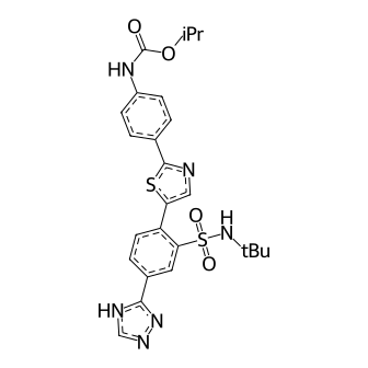 CC(C)OC(=O)Nc1ccc(-c2ncc(-c3ccc(-c4nnc[nH]4)cc3S(=O)(=O)NC(C)(C)C)s2)cc1